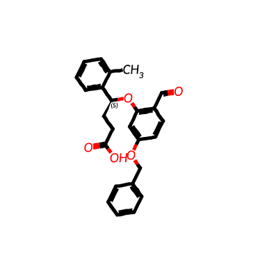 Cc1ccccc1[C@H](CCC(=O)O)Oc1cc(OCc2ccccc2)ccc1C=O